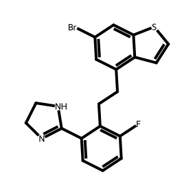 Fc1cccc(C2=NCCN2)c1CCc1cc(Br)cc2sccc12